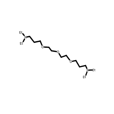 CCN(CC)CCCOCCOCCOCCCN(CC)CC